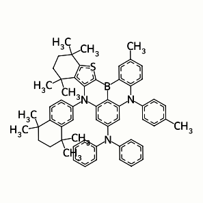 Cc1ccc(N2c3ccc(C)cc3B3c4sc5c(c4N(c4ccc6c(c4)C(C)(C)CCC6(C)C)c4cc(N(c6ccccc6)c6ccccc6)cc2c43)C(C)(C)CCC5(C)C)cc1